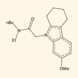 CCCCN(CC)C(=O)Cn1c2c(c3ccc(OC)cc31)CCCC2